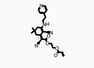 C=CC(=O)OCCOC(=O)/C(C#N)=C1/CC(C)(C)CC(NCCc2ccncc2)=C1C#N